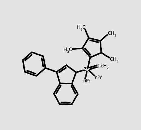 CC[CH2][Zr](=[GeH2])([CH2]CC)([C]1=C(C)C(C)=C(C)C1C)[CH]1C=C(c2ccccc2)c2ccccc21